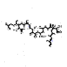 C=C/C(C)=C/C(C)C1CC(O)(C(C)CCC(CC(CC(O)C(C)C/C=C/C(C)C2CC(C(C)CCC(C)O)C(O)C(=O)O2)OC)OC)C(O)C(=O)O1